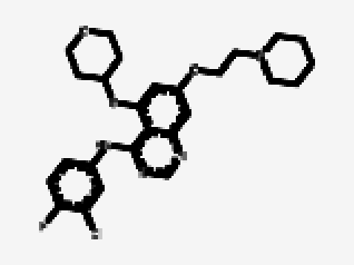 Fc1ccc(Nc2ncnc3cc(OCCN4CCCCC4)cc(OC4CCOCC4)c23)cc1Cl